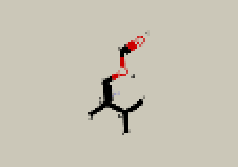 C/C(=C/OC=O)C(C)C